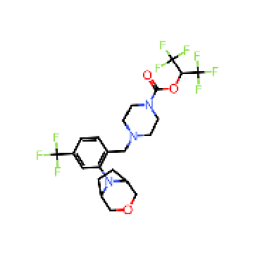 O=C(OC(C(F)(F)F)C(F)(F)F)N1CCN(Cc2ccc(C(F)(F)F)cc2N2C3CCC2COC3)CC1